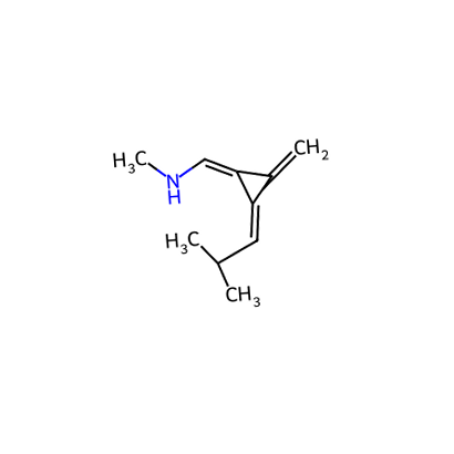 C=C1C(=C/NC)/C1=C\C(C)C